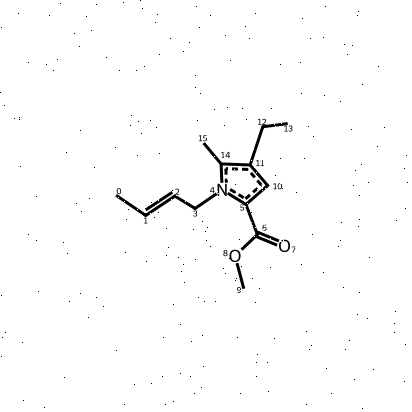 CC=CCn1c(C(=O)OC)cc(CC)c1C